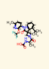 Cc1ccc(NC(=O)C2(c3ccccc3C(C)C)CN(C(=O)[C@H](C)NC(=O)O)C2)c(OC(F)F)n1